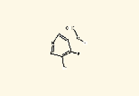 CCOC=O.CCc1cnccc1F